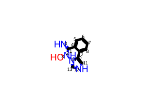 N=C(NO)c1ccccc1-c1c[nH]cn1